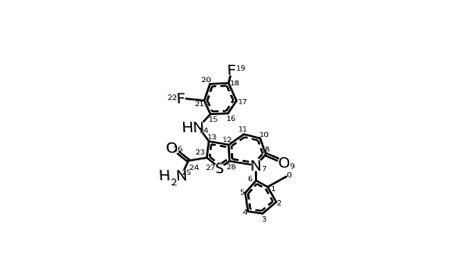 Cc1ccccc1-n1c(=O)ccc2c(Nc3ccc(F)cc3F)c(C(N)=O)sc21